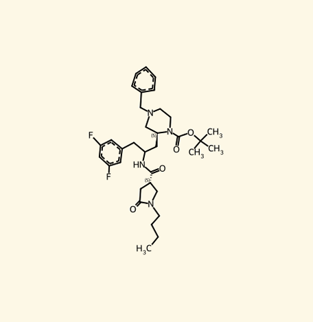 CCCCN1C[C@@H](C(=O)NC(Cc2cc(F)cc(F)c2)C[C@H]2CN(Cc3ccccc3)CCN2C(=O)OC(C)(C)C)CC1=O